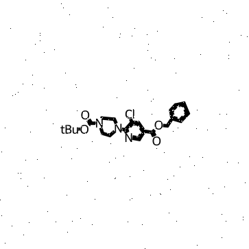 CC(C)(C)OC(=O)N1CCN(c2ncc(C(=O)OCc3ccccc3)cc2Cl)CC1